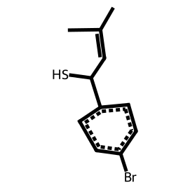 CC(C)=CC(S)c1ccc(Br)cc1